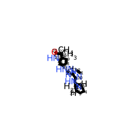 CN1[C@@H]2CC[C@H]1CC(Nc1nccn3nc(Nc4ccc5c(c4)NC(=O)C5(C)C)nc13)C2